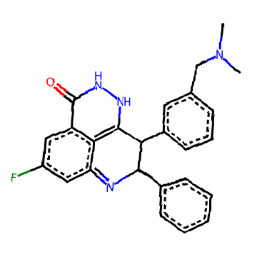 CN(C)Cc1cccc(C2C3=c4c(cc(F)cc4=NC2c2ccccc2)C(=O)NN3)c1